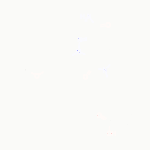 COc1ccc(-n2nc(C(N)=O)c3c2C(=O)N(c2ccc(C4(C(=O)O)CC4)cc2)CC32CC2)cc1